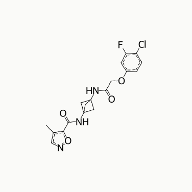 Cc1cnoc1C(=O)NC12CC(NC(=O)COc3ccc(Cl)c(F)c3)(C1)C2